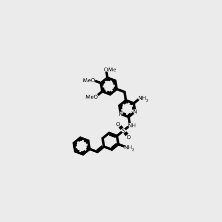 COc1cc(Cc2cnc(NS(=O)(=O)C3=CCC(=Cc4ccccc4)C=C3N)nc2N)cc(OC)c1OC